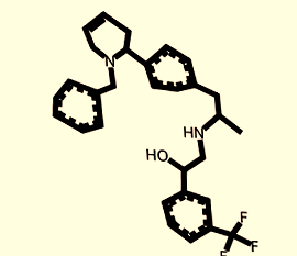 CC(Cc1ccc(C2CC=CCN2Cc2ccccc2)cc1)NCC(O)c1cccc(C(F)(F)F)c1